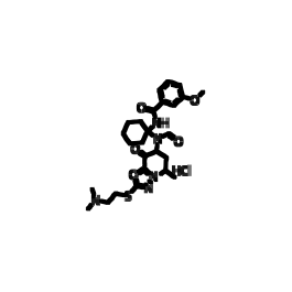 COc1cccc(C(=O)NC2(N(C=O)C(CC(C)C)C(=O)c3nnc(SCCN(C)C)o3)CCCCC2)c1.Cl